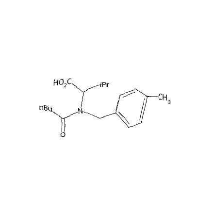 CCCCC(=O)N(Cc1ccc(C)cc1)C(C(=O)O)C(C)C